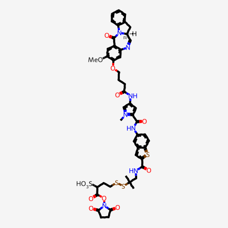 COc1cc2c(cc1OCCCC(=O)Nc1cc(C(=O)Nc3ccc4sc(C(=O)NCC(C)(C)SSCCC(C(=O)ON5C(=O)CCC5=O)S(=O)(=O)O)cc4c3)n(C)c1)N=C[C@@H]1Cc3ccccc3N1C2=O